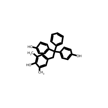 Cc1cc(CC(c2ccccc2)(c2ccc(O)cc2)c2ccc(O)cc2)cc(C)c1O